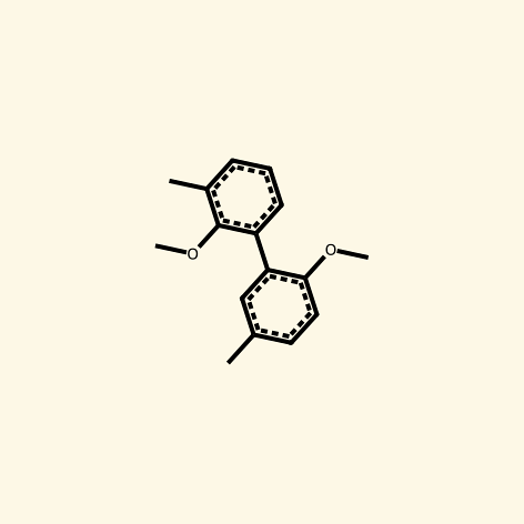 COc1ccc(C)cc1-c1cccc(C)c1OC